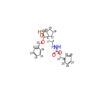 O=C(NCCC[C@@]1(C(=O)OCc2ccccc2)CCC[C@@H]1S)OCc1ccccc1